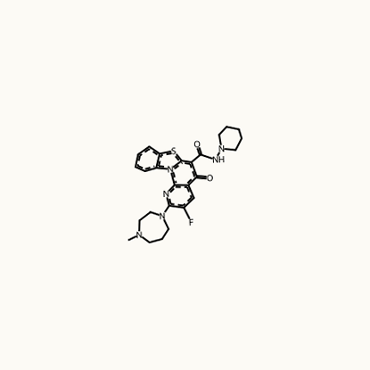 CN1CCCN(c2nc3c(cc2F)c(=O)c(C(=O)NN2CCCCC2)c2sc4ccccc4n23)CC1